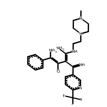 CN1CCN(CCN/C(N)=C(C(=N)c2ccc(C(F)(F)F)nc2)/C(Cl)=C(\N)c2ccccc2)CC1